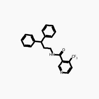 O=C(NCCC(c1ccccc1)c1ccccc1)c1cnccc1C(F)(F)F